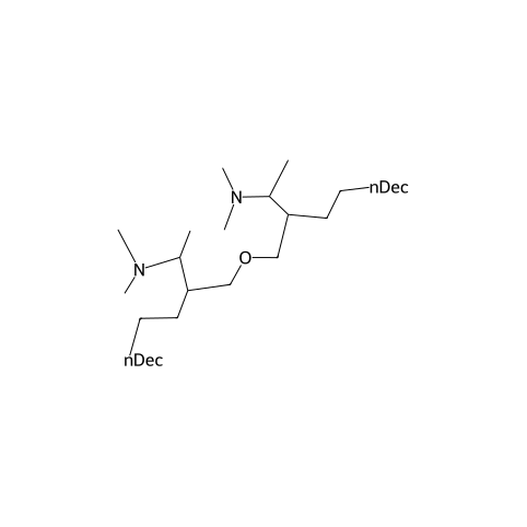 CCCCCCCCCCCCC(COCC(CCCCCCCCCCCC)C(C)N(C)C)C(C)N(C)C